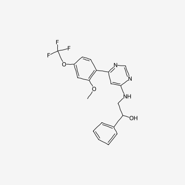 COc1cc(OC(F)(F)F)ccc1-c1cc(NCC(O)c2ccccc2)ncn1